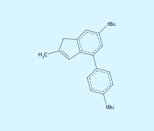 CC1=Cc2c(cc(C(C)(C)C)cc2-c2ccc(C(C)(C)C)cc2)[CH]1